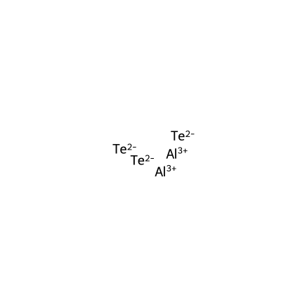 [Al+3].[Al+3].[Te-2].[Te-2].[Te-2]